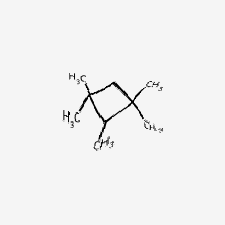 CC1C(C)(C)CC1(C)C